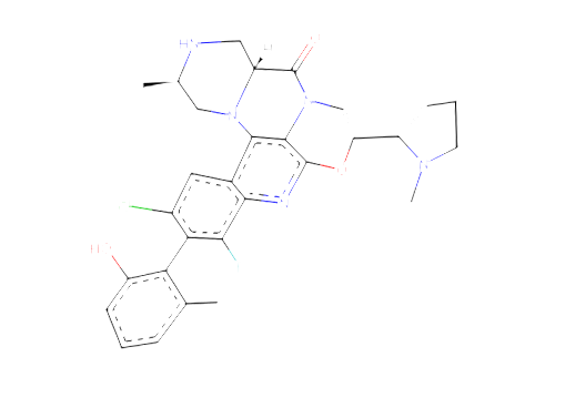 Cc1cccc(O)c1-c1c(Cl)cc2c3c4c(nc2c1F)O[C@@H]([C@@H]1CCCN1C)CN4C(=O)[C@H]1CN[C@H](C)CN31